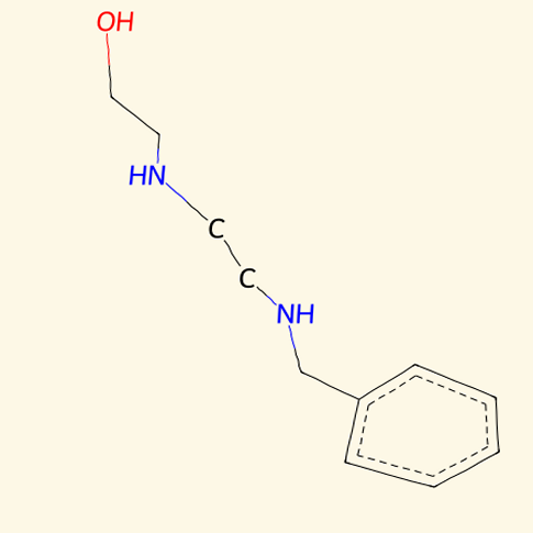 OCCNCCNCc1ccccc1